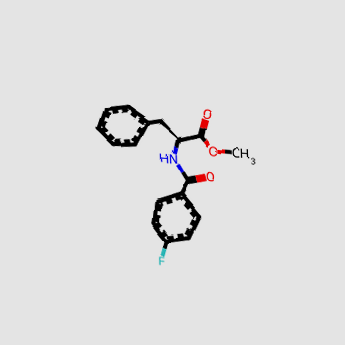 COC(=O)[C@H](Cc1ccccc1)NC(=O)c1ccc(F)cc1